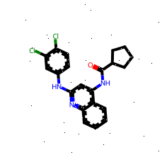 O=C(Nc1cc(Nc2ccc(Cl)c(Cl)c2)nc2ccccc12)C1CCCC1